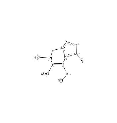 CCCOC1=C(OC)N(C)Cc2ccc(Cl)n21